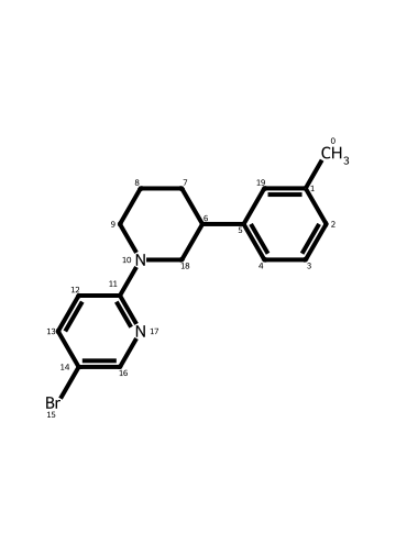 Cc1cccc(C2CCCN(c3ccc(Br)cn3)C2)c1